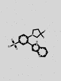 CCS(=O)(=O)c1ccc(N2CCC(F)(F)C2)c(-c2cc3ncccc3[nH]2)c1